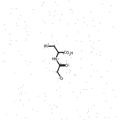 CC(C)CC(NC(=O)C[O])C(=O)O